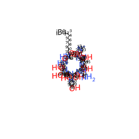 CC[C@H](C)C[C@H](C)CCCCCCCCC(=O)N[C@H]1C[C@@H](O)[C@@H](OC[C@@H]2CC[N+]2(C)C)NC(=O)[C@@H]2[C@@H](O)[C@@H](C)CN2C(=O)[C@H]([C@H](O)CCN)NC(=O)[C@H]([C@H](O)[C@@H](O)c2ccc(O)cc2)NC(=O)[C@@H]2C[C@@H](O)CN2C(=O)[C@H]([C@@H](C)O)NC1=O